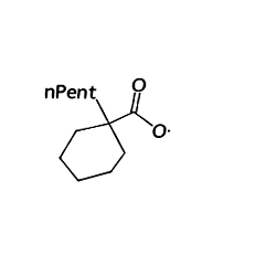 CCCCCC1(C([O])=O)CCCCC1